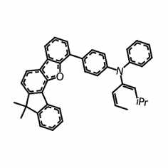 C/C=C\C(=C/C(C)C)N(c1ccccc1)c1ccc(-c2cccc3c2oc2c4c(ccc23)C(C)(C)c2ccccc2-4)cc1